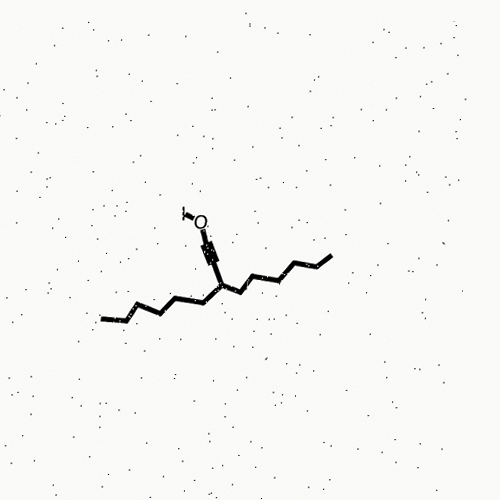 CCCCCCC(C#COI)CCCCCC